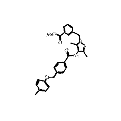 CNC(=O)c1cccc(Cn2nc(C)c(NC(=O)c3ccc(COc4ccc(C)cc4)cc3)c2C)c1